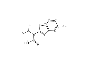 CC(C)C(C(=O)O)C1=Cc2cc(F)ccc2C1